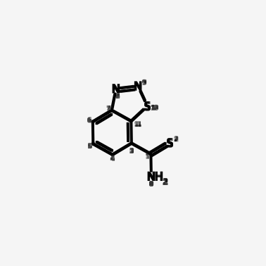 NC(=S)c1cccc2nnsc12